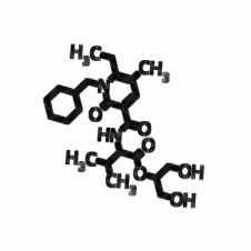 CCc1c(C)cc(C(=O)NC(C(=O)OC(CO)CO)C(C)C)c(=O)n1CC1CCCCC1